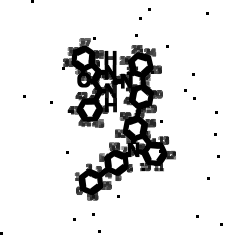 c1ccc(-c2ccc(-n3c4ccccc4c4cc(-c5ccc6c7ccccc7n(C7Nc8c(oc9ccccc89)C(c8ccccc8)N7)c6c5)ccc43)cc2)cc1